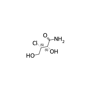 NC(=O)[C@H](O)[C@@H](Cl)CO